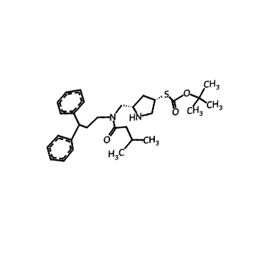 CC(C)CC(=O)N(CCC(c1ccccc1)c1ccccc1)C[C@@H]1C[C@H](SC(=O)OC(C)(C)C)CN1